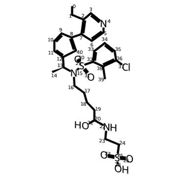 CCc1cnccc1-c1cccc([C@H](C)N(CCCCC(O)NCCS(=O)(=O)O)S(=O)(=O)c2cccc(Cl)c2C)c1